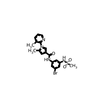 Cc1cccnc1-n1cc(C(=O)Nc2cc(Br)cc(NS(C)(=O)=O)c2)cc1C